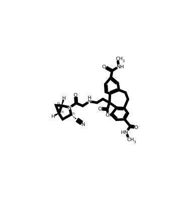 CNC(=O)c1ccc2c(c1)CCc1cc(C(=O)NC)ccc1C2(CCNCC(=O)N1[C@H](C#N)C[C@@H]2C[C@@H]21)C(=O)O